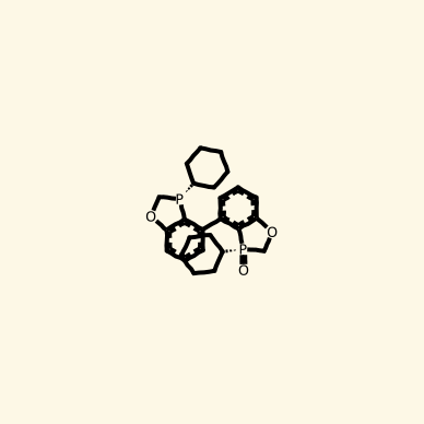 O=[P@]1(C2CCCCC2)COc2cccc(-c3cccc4c3[P@@](C3CCCCC3)CO4)c21